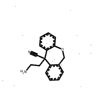 N#CC1(CCN)c2ccccc2COc2ccccc21